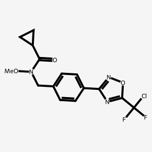 CON(Cc1ccc(-c2noc(C(F)(F)Cl)n2)cc1)C(=O)C1CC1